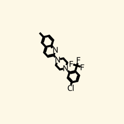 Cc1ccc2nc(N3CCN(c4cc(Cl)ccc4C(F)(F)F)CC3)ccc2c1